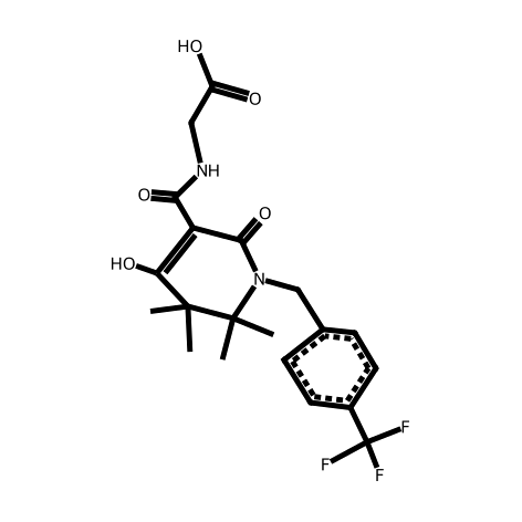 CC1(C)C(O)=C(C(=O)NCC(=O)O)C(=O)N(Cc2ccc(C(F)(F)F)cc2)C1(C)C